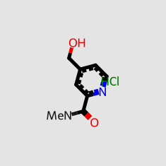 CNC(=O)c1cc(CO)ccn1.Cl